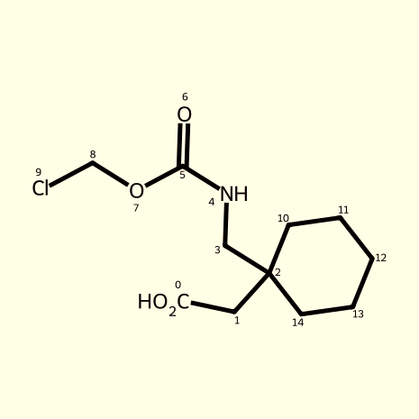 O=C(O)CC1(CNC(=O)OCCl)CCCCC1